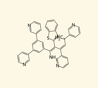 C=C(/C=C(\C(=C(/N)c1cc(-c2cccnc2)cc(-c2cccnc2)c1)c1nc2ccccc2s1)c1cccnc1)c1cccnc1